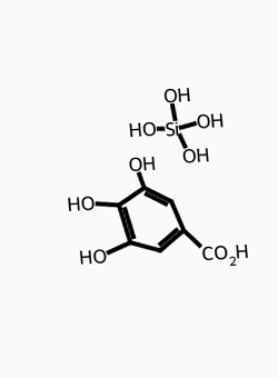 O=C(O)c1cc(O)c(O)c(O)c1.O[Si](O)(O)O